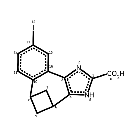 O=C(O)c1nc2c([nH]1)C1CC(C1)c1ccc(I)cc1-2